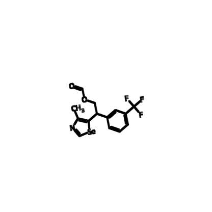 Cc1nc[se]c1C(COC=O)c1cccc(C(F)(F)F)c1